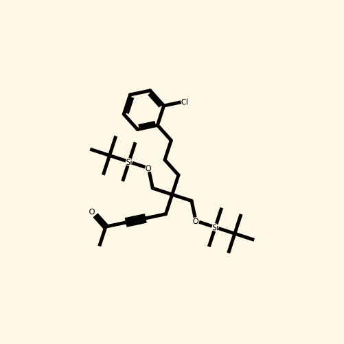 CC(=O)C#CCC(CCCc1ccccc1Cl)(CO[Si](C)(C)C(C)(C)C)CO[Si](C)(C)C(C)(C)C